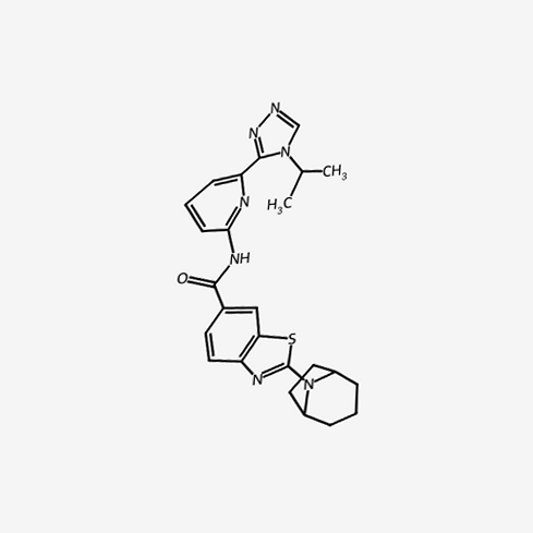 CC(C)n1cnnc1-c1cccc(NC(=O)c2ccc3nc(N4C5CCCC4CC5)sc3c2)n1